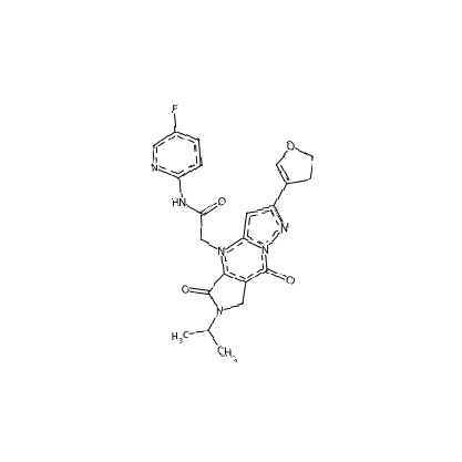 CC(C)N1Cc2c(n(CC(=O)Nc3ccc(F)cn3)c3cc(C4=COCC4)nn3c2=O)C1=O